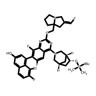 CCc1c(F)ccc2cc(O)cc(-c3c(F)cc4c(N5C[C@@H]6C[C@H](C5)[C@H](O[Si](C)(C)C(C)(C)C)C6)nc(OCC56CCCN5C/C(=C\F)C6)nc4c3F)c12